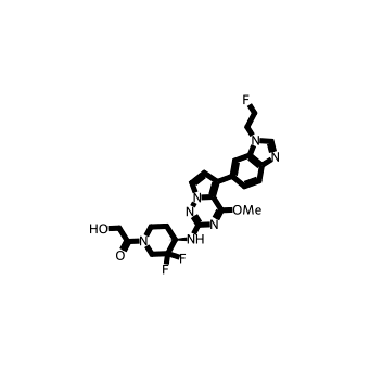 COc1nc(N[C@@H]2CCN(C(=O)CO)CC2(F)F)nn2ccc(-c3ccc4ncn(CCF)c4c3)c12